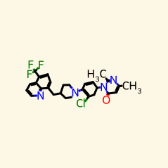 Cc1cc(=O)n(C2C=CC(N3CCC(Cc4ccc(C(F)(F)F)c5cccnc45)CC3)=C(Cl)C2)c(C)n1